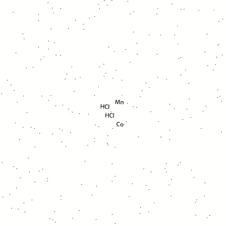 Cl.Cl.[Co].[Mn]